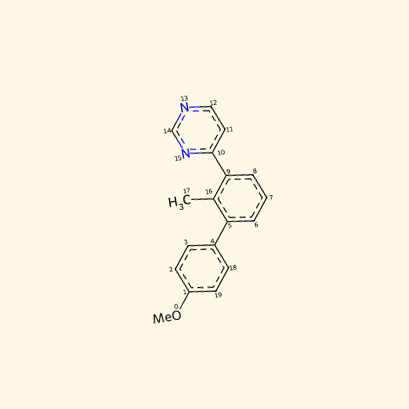 COc1ccc(-c2cccc(-c3ccncn3)c2C)cc1